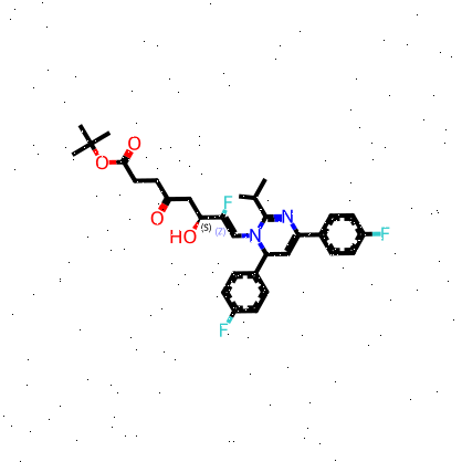 CC(C)C1=NC(c2ccc(F)cc2)=CC(c2ccc(F)cc2)N1/C=C(\F)[C@@H](O)CC(=O)CCC(=O)OC(C)(C)C